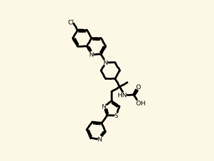 CC(Cc1csc(-c2cccnc2)n1)(NC(=O)O)C1CCN(c2ccc3cc(Cl)ccc3n2)CC1